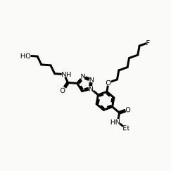 CCNC(=O)c1ccc(-n2cc(C(=O)NCCCCO)nn2)c(OCCCCCCF)c1